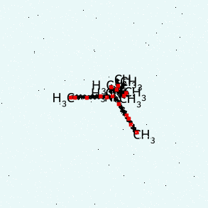 CCC#CC1=C(c2cc(C)cc(C)c2)[N+](=[N-])C(c2cc(C)cc(C)c2)=C1CCCC.CCCCCCCCCCCCCCCCCCCCC[CH2][Ni][CH2]CCCCCCCCCCCCCCCCCCCCC